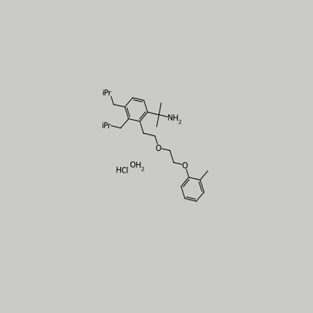 Cc1ccccc1OCCOCCc1c(C(C)(C)N)ccc(CC(C)C)c1CC(C)C.Cl.O